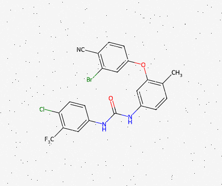 Cc1ccc(NC(=O)Nc2ccc(Cl)c(C(F)(F)F)c2)cc1Oc1ccc(C#N)c(Br)c1